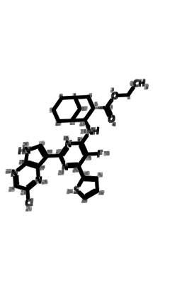 CCOC(=O)[C@H]1CC2CCCC(C2)[C@@H]1Nc1nc(-c2c[nH]c3ncc(Cl)nc23)nc(-c2cccs2)c1F